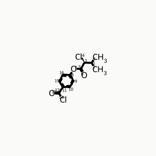 CC(C)[C@H](Cl)C(=O)Oc1ccc(C(=O)Cl)cc1